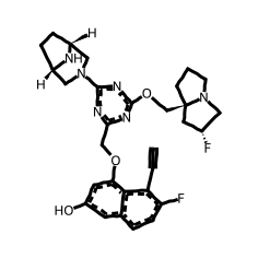 C#Cc1c(F)ccc2cc(O)cc(OCc3nc(OC[C@@]45CCCN4C[C@H](F)C5)nc(N4C[C@H]5CC[C@@H](C4)N5)n3)c12